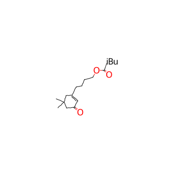 CCC(C)C(=O)OCCCCC1=CC(=O)CC(C)(C)C1